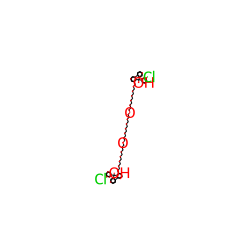 OC1(c2cccc(Cl)c2)c2ccccc2-c2cccc(CCCCCCCCCCCCOCCCCCCCCCCCCOCCCCCCCCCCCCc3cccc4c3C(O)(c3cccc(Cl)c3)c3ccccc3-4)c21